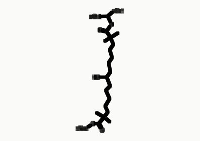 CCCCCCCCCOC(=O)C(C)(C)CCCCCC(O)CCCCCC(C)(C)C(=O)OC(CCCCCCCC)CCCCCCCC